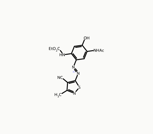 CCOC(=O)Nc1cc(O)c(NC(C)=O)cc1/N=N/c1snc(C)c1C#N